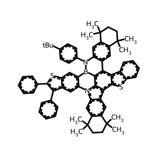 CC(C)(C)c1ccc(N2B3c4cc5sc(-c6ccccc6)c(-c6ccccc6)c5cc4-n4c5cc6c(cc5c5c7sc8ccccc8c7c(c3c54)-c3cc4c(cc32)C(C)(C)CCC4(C)C)C(C)(C)CCC6(C)C)cc1